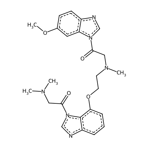 COc1ccc2ncn(C(=O)CN(C)CCOc3cccc4ncn(C(=O)CN(C)C)c34)c2c1